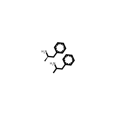 CC(N)Cc1ccccc1.C[C@@H](N)Cc1ccccc1